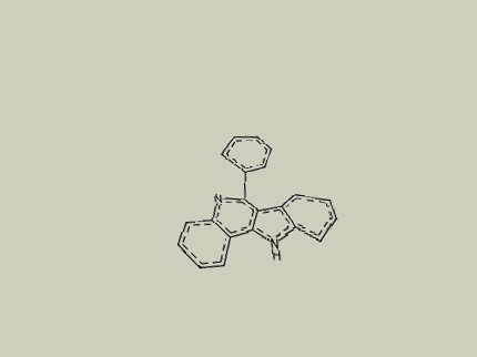 c1ccc(-c2nc3ccccc3c3[nH]c4ccccc4c23)cc1